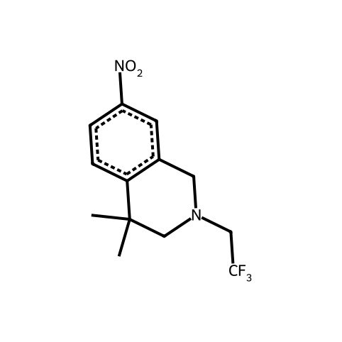 CC1(C)CN(CC(F)(F)F)Cc2cc([N+](=O)[O-])ccc21